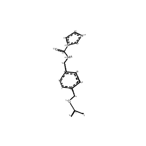 CC(C)OCc1ccc(CNC(=O)n2ccnc2)cc1